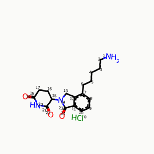 Cl.NCCCCCc1cccc2c1CN(C1CCC(=O)NC1=O)C2=O